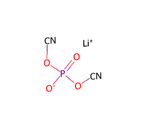 N#COP(=O)([O-])OC#N.[Li+]